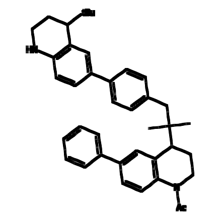 CC(=O)N1CCC(C(C)(C)Cc2ccc(-c3ccc4c(c3)C(C(C)(C)C)CCN4)cc2)c2cc(-c3ccccc3)ccc21